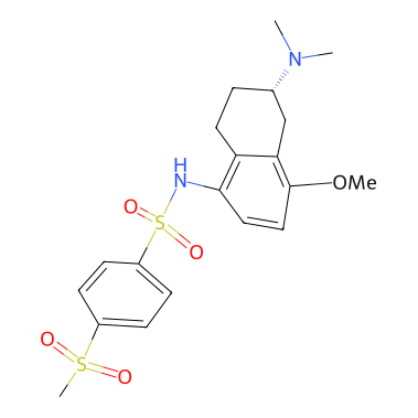 COc1ccc(NS(=O)(=O)c2ccc(S(C)(=O)=O)cc2)c2c1C[C@@H](N(C)C)CC2